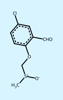 C[S+]([O-])COc1ccc(Cl)cc1C=O